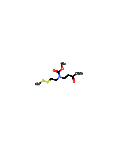 COC(=O)CCN(CCSSC(C)(C)C)C(=O)OC(C)(C)C